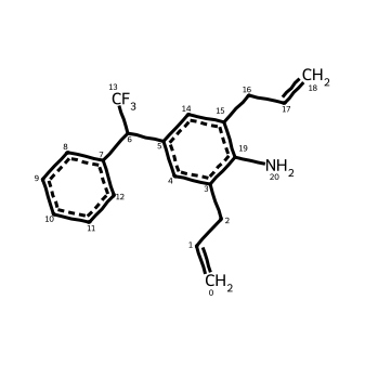 C=CCc1cc(C(c2ccccc2)C(F)(F)F)cc(CC=C)c1N